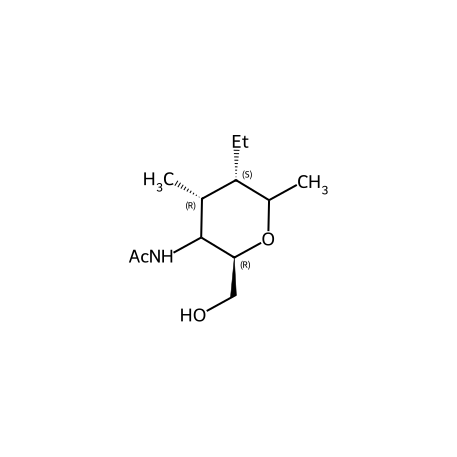 CC[C@@H]1C(C)O[C@@H](CO)C(NC(C)=O)[C@@H]1C